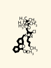 CCC=Cc1nc(Cl)c(CO[Si](C)(C)C(C)(C)C)n1Cc1ccc(-c2ccccc2C(=O)OC)cc1